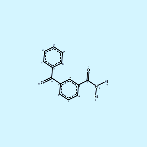 CCN(CC)C(=O)c1cccc(C(=O)c2ccccc2)c1